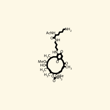 CO[C@H]1/C=C\C=C(/C)C(=O)CC2=CC(=O)C(NCCCCNC(=O)[C@H](CCCCN)NC(C)=O)=C(C[C@@H](C)C[C@H](OC)[C@H](O)[C@@H](C)/C=C(\C)[C@@H]1OC(N)=O)C2=O